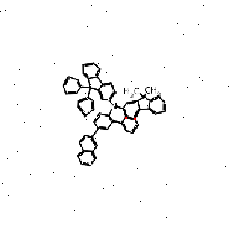 CC1(C)c2ccccc2-c2ccc(N(c3ccc4c(c3)C(c3ccccc3)(c3ccccc3)c3ccccc3-4)c3ccc(-c4ccc5ccccc5c4)cc3-c3ccccc3)cc21